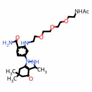 CC(=O)NCCOCCOCCOCCNc1cc(N2NC(C)C3=C2CC(C)(C)CC3=O)ccc1C(N)=O